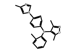 Cc1cn(-c2ccc(N(c3ccccc3C)c3c(C)noc3C)cc2)cn1